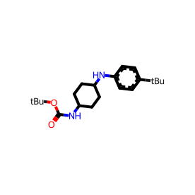 CC(C)(C)OC(=O)NC1CCC(Nc2ccc(C(C)(C)C)cc2)CC1